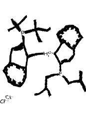 CC(C)CP(CC(C)C)C1=Cc2ccccc2[CH]1[Hf+2][CH]1C(P(C(C)(C)C)C(C)(C)C)=Cc2ccccc21.[Cl-].[Cl-]